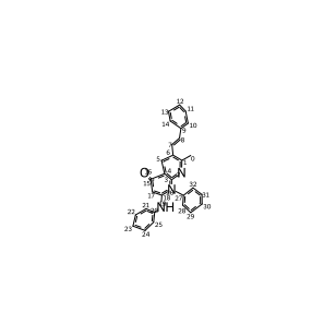 Cc1nc2c(cc1/C=C/c1ccccc1)c(=O)cc(Nc1ccccc1)n2-c1ccccc1